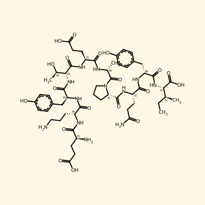 CC[C@H](C)[C@H](NC(=O)[C@@H](Cc1ccc(O)cc1)NC(=O)[C@H](CCC(N)=O)NC(=O)[C@@H]1CCCN1C(=O)[C@@H](C)NC(=O)[C@H](CCC(=O)O)NC(=O)[C@H](NC(=O)[C@H](Cc1ccc(O)cc1)NC(=O)[C@@H](CCCN)NC(=O)[C@@H](N)CCC(=O)O)[C@@H](C)O)C(=O)O